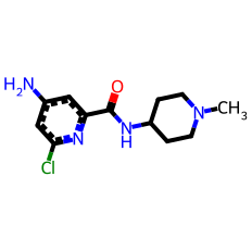 CN1CCC(NC(=O)c2cc(N)cc(Cl)n2)CC1